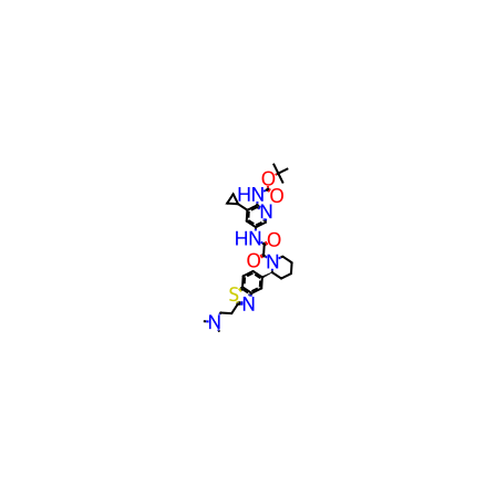 CN(C)CCc1nc2cc([C@@H]3CCCCN3C(=O)C(=O)Nc3cnc(NC(=O)OC(C)(C)C)c(C4CC4)c3)ccc2s1